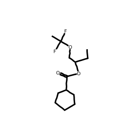 CCC(COC(C)(F)F)OC(=O)C1CCCCC1